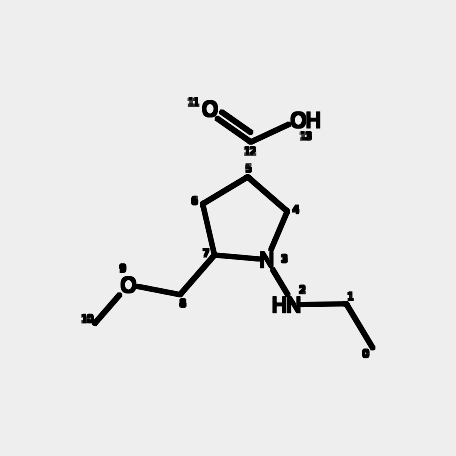 CCNN1CCCC1COC.O=CO